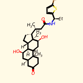 CC[C@@H](NC(=O)C[C@@H](C)[C@H]1CC[C@H]2[C@@H]3[C@H](O)C[C@@H]4CC(=O)CC[C@]4(C)[C@H]3C[C@H](O)[C@]12C)c1ccc(Br)s1